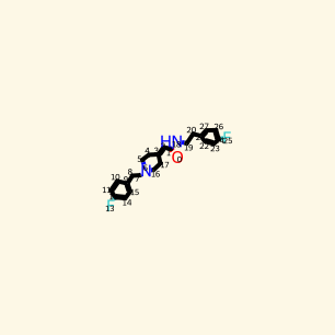 O=C(C=C1CCN(CCc2ccc(F)cc2)CC1)NCCc1ccc(F)cc1